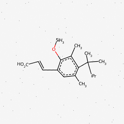 Cc1cc(C=CC(=O)O)c(O[SiH3])c(C)c1C(C)(C)C(C)C